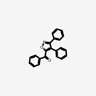 O=C(c1ccccc1)c1onc(-c2ccccc2)c1-c1ccccc1